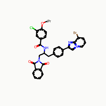 CC(C)Oc1ccc(C(=O)NC(Cc2ccc(-c3cn4cccc(Br)c4n3)cc2)CN2C(=O)c3ccccc3C2=O)cc1Cl